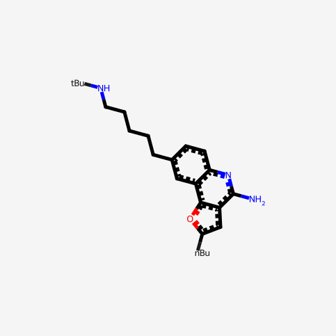 CCCCc1cc2c(N)nc3ccc(CCCCCNC(C)(C)C)cc3c2o1